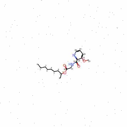 CCCCCCCC(C)OC(=O)CNC(=O)c1ncccc1OC